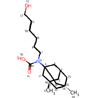 C[C@]12CC3CC(N(CCCCCCO)C(=O)O)(C1)C[C@@](C)(C3)C2